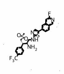 CS(=O)(=O)C[C@@H](c1ccc(C(F)(F)F)cc1)[C@H](N)CNc1ncc(-c2ccc3cnc(F)cc3c2)s1